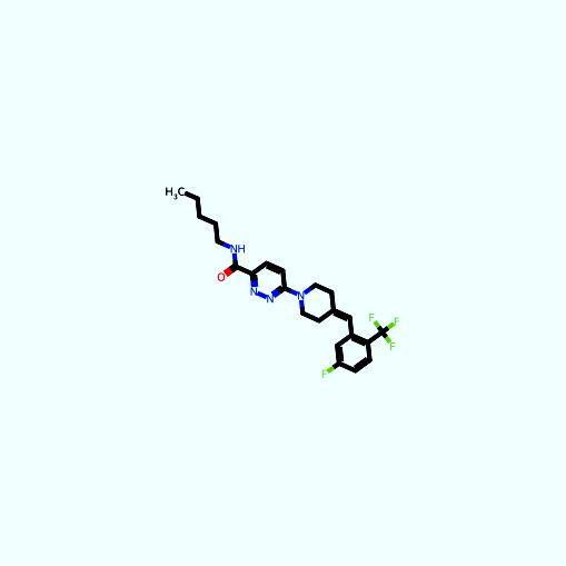 CCCCCNC(=O)c1ccc(N2CCC(=Cc3cc(F)ccc3C(F)(F)F)CC2)nn1